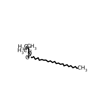 CCCCCCCCCCCCCCCCCCCCCCCC[PH](=O)OCC[N+](C)(C)C